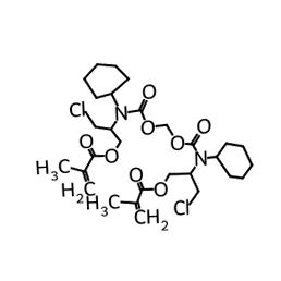 C=C(C)C(=O)OCC(CCl)N(C(=O)OCOC(=O)N(C1CCCCC1)C(CCl)COC(=O)C(=C)C)C1CCCCC1